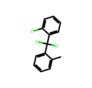 Cc1ccccc1C(Cl)(Cl)c1ccccc1Cl